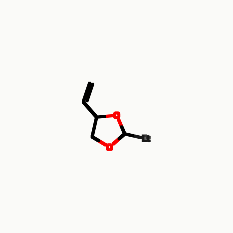 C=CC1COC(CC)O1